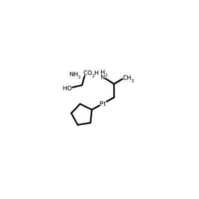 CC(N)[CH2][Pt][CH]1CCCC1.N.O=C(O)CO